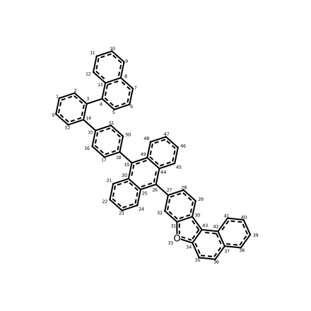 c1ccc(-c2cccc3ccccc23)c(-c2ccc(-c3c4ccccc4c(-c4ccc5c(c4)oc4ccc6ccccc6c45)c4ccccc34)cc2)c1